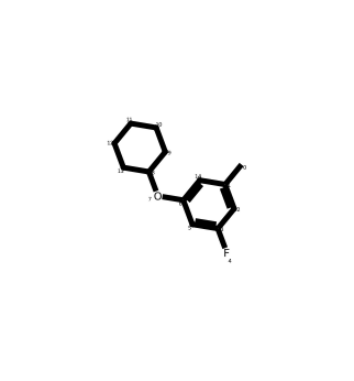 Cc1cc(F)cc(OC2CCCCC2)c1